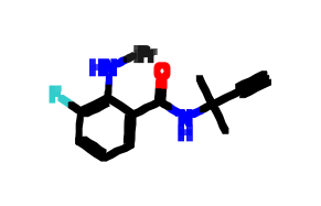 C#CC(C)(C)NC(=O)c1cccc(F)c1NC(C)C